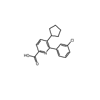 O=C(O)c1ccc(C2CCCC2)c(-c2cccc(Cl)c2)n1